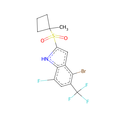 CC1(S(=O)(=O)c2cc3c(Br)c(C(F)(F)F)cc(F)c3[nH]2)CCC1